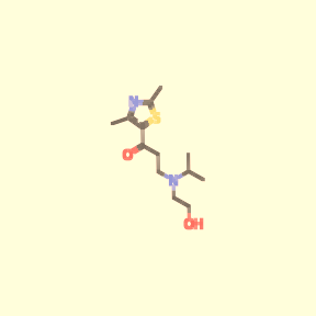 Cc1nc(C)c(C(=O)CCN(CCO)C(C)C)s1